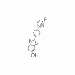 Oc1ccc2nc(-c3ccc(-n4ccc(F)n4)cc3)sc2c1